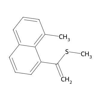 C=C(SC)c1cccc2cccc(C)c12